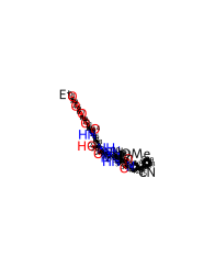 CCOCCOCCOCCOCCC(=O)NCCC[C@H](CO)NC(=O)c1ncn(-c2ncc(OC)c3c(C(=O)C(=O)N4CCC(=C(C#N)c5ccccc5)CC4)c[nH]c23)n1